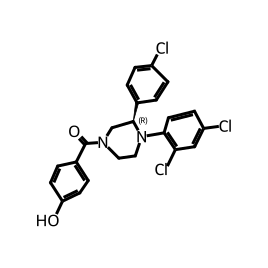 O=C(c1ccc(O)cc1)N1CCN(c2ccc(Cl)cc2Cl)[C@H](c2ccc(Cl)cc2)C1